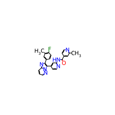 Cc1cc(C(=O)Nc2cc(-c3c(-c4ccc(F)c(C)c4)nc4cccnn34)ccn2)ccn1